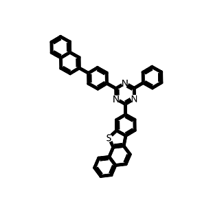 c1ccc(-c2nc(-c3ccc(-c4ccc5ccccc5c4)cc3)nc(-c3ccc4c(c3)sc3c5ccccc5ccc43)n2)cc1